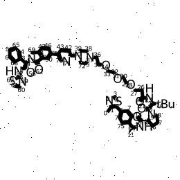 Cc1ncsc1-c1ccc([C@H](C)NC(=O)[C@@H]2CCCN2C(=O)C(NC(=O)CCOCCOCCOCCN2CCN(c3ccc(-c4ccc5c(c4)C(=O)N(C(C(=O)Nc4nccs4)c4ccccc4)C5)cn3)CC2)C(C)(C)C)cc1